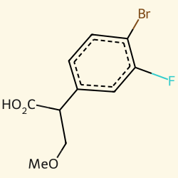 COCC(C(=O)O)c1ccc(Br)c(F)c1